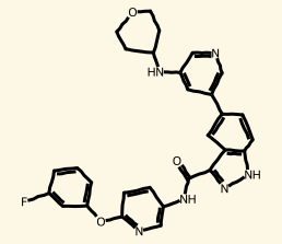 O=C(Nc1ccc(Oc2cccc(F)c2)nc1)c1n[nH]c2ccc(-c3cncc(NC4CCOCC4)c3)cc12